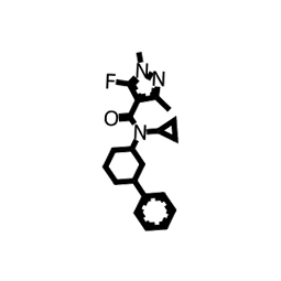 Cc1nn(C)c(F)c1C(=O)N(C1CC1)C1CCCC(c2ccccc2)C1